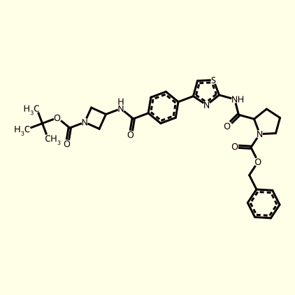 CC(C)(C)OC(=O)N1CC(NC(=O)c2ccc(-c3csc(NC(=O)C4CCCN4C(=O)OCc4ccccc4)n3)cc2)C1